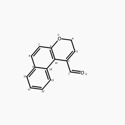 O=CC1=CCOc2ccc3ccccc3c21